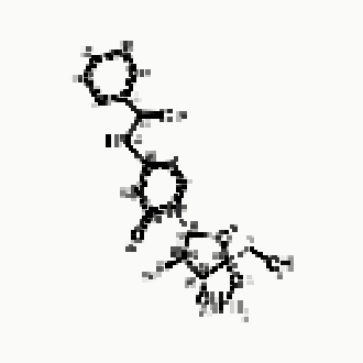 CO[C@]1(CO)O[C@@H](n2ccc(NC(=O)c3ccccc3)nc2=O)[C@H](F)[C@@H]1O